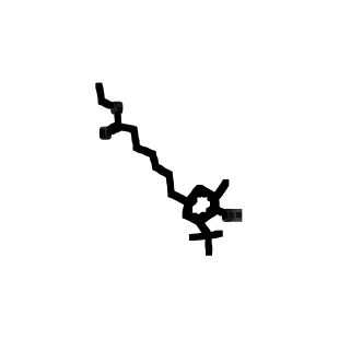 CCOC(=O)CCCCCCc1cc(C)c(O)c(C(C)(C)C)c1